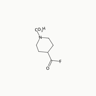 O=C(F)C1CCN(C(=O)O)CC1